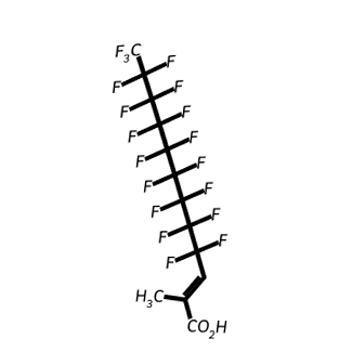 CC(=CC(F)(F)C(F)(F)C(F)(F)C(F)(F)C(F)(F)C(F)(F)C(F)(F)C(F)(F)C(F)(F)F)C(=O)O